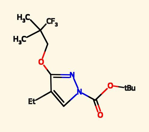 CCc1cn(C(=O)OC(C)(C)C)nc1OCC(C)(C)C(F)(F)F